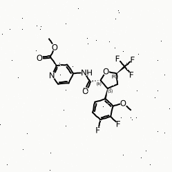 COC(=O)c1cc(NC(=O)[C@@H]2O[C@@H](C(F)(F)F)C[C@H]2c2ccc(F)c(F)c2OC)ccn1